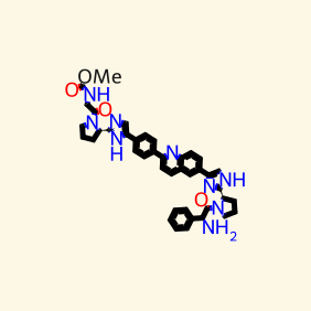 COC(=O)NCC(=O)N1CCC[C@H]1c1ncc(-c2ccc(-c3ccc4cc(-c5c[nH]c([C@@H]6CCCN6C(=O)[C@H](N)c6ccccc6)n5)ccc4n3)cc2)[nH]1